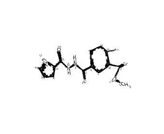 COC(=O)c1cc(C(=O)NNC(=O)c2ccco2)ccc1F